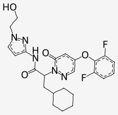 O=C(Nc1ccn(CCO)n1)C(CC1CCCCC1)n1ncc(Oc2c(F)cccc2F)cc1=O